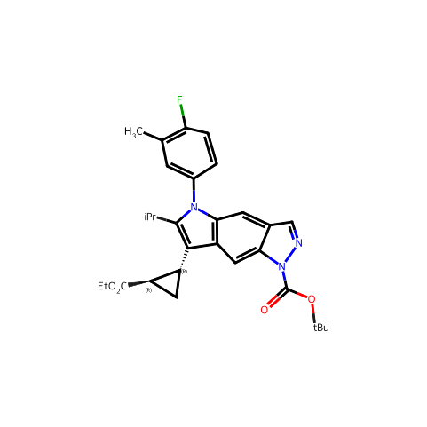 CCOC(=O)[C@@H]1C[C@H]1c1c(C(C)C)n(-c2ccc(F)c(C)c2)c2cc3cnn(C(=O)OC(C)(C)C)c3cc12